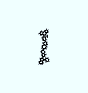 C1=CC2c3ccccc3C3=NC4CC(c5ccc6c(c5)C=CC(C5=CC=C7C=C(C8=Cc9ccccc9C8C8=CCCC=C8)C=CC7C5)C=C6)C=CC4C3C2C=C1